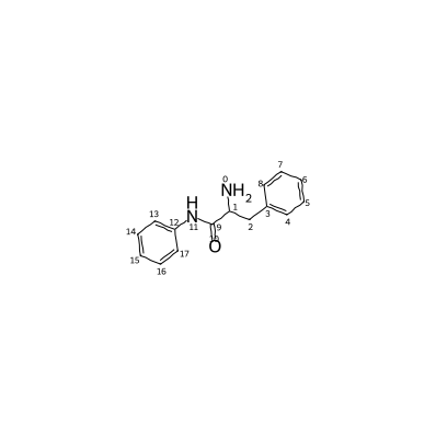 NC(Cc1ccccc1)C(=O)Nc1ccccc1